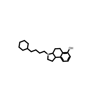 Oc1cccc2c1CCC1C2CCN1CCCCC1CCCCC1